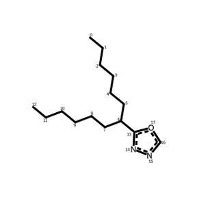 CCCCCCC(CCCCCC)c1nnco1